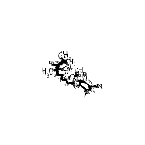 C=C(C)C(F)C(C)(C)CC(=O)CCCc1nc2c(F)cc(C#N)cc2n1C(C)(C)C